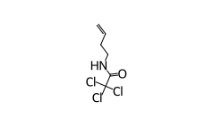 C=CCCNC(=O)C(Cl)(Cl)Cl